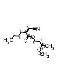 CCCCC(=CC#N)C(=O)OCCC(C)OC